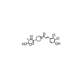 CC(NC(=O)C1CCN(C(=O)C=Cc2ccc(O)c(Cl)c2Cl)CC1)C(=O)O